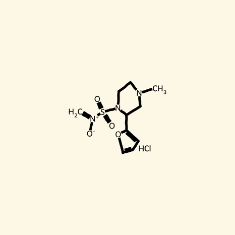 C=[N+]([O-])S(=O)(=O)N1CCN(C)CC1c1ccco1.Cl